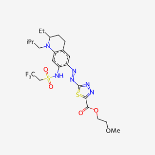 CCC1CCc2cc(N=Nc3nnc(C(=O)OCCOC)s3)c(NS(=O)(=O)CC(F)(F)F)cc2N1CC(C)C